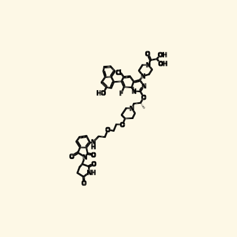 C[C@H](CN1CCC(OCCOCCNc2cccc3c2C(=O)N(C2CCC(=O)NC2=O)C3=O)CC1)Oc1nc(N2CCN(C(=O)C(O)O)CC2)c2cc(Cl)c(-c3cc(O)cc4ccccc34)c(F)c2n1